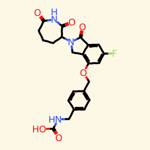 O=C(O)NCc1ccc(COc2cc(F)cc3c2CN(C2CCCC(=O)NC2=O)C3=O)cc1